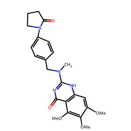 COc1cc2[nH]c(N(C)Cc3ccc(N4CCCC4=O)cc3)nc(=O)c2c(OC)c1OC